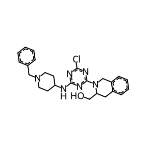 OCC1Cc2ccccc2CN1c1nc(Cl)nc(NC2CCN(Cc3ccccc3)CC2)n1